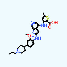 CCCN1CCC(c2ccc(Nc3cc4c(Nc5cc(C)sc5C(=O)O)cncc4[nH]3)c(OC)c2)CC1